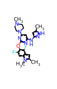 Cc1cc(Nc2cc(N3CCN(C)CC3)nc(Oc3c(F)cc4c(cc(C)n4C)c3F)n2)n[nH]1